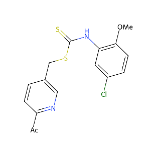 COc1ccc(Cl)cc1NC(=S)SCc1ccc(C(C)=O)nc1